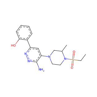 CCS(=O)(=O)N1CCN(c2cc(-c3ccccc3O)nnc2N)CC1C